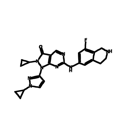 O=c1c2cnc(Nc3cc(F)c4c(c3)CCNC4)nc2n(-c2ccn(C3CC3)n2)n1C1CC1